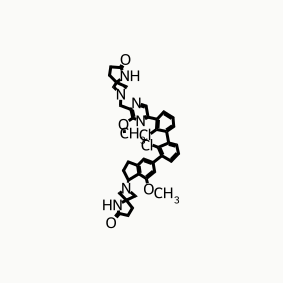 COc1cc(-c2cccc(-c3cccc(-c4cnc(CN5CC6(CCC(=O)N6)C5)c(OC)n4)c3Cl)c2Cl)cc2c1[C@@H](N1CC3(CCC(=O)N3)C1)CC2